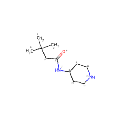 CC(C)(C)CC(=O)NC1CCNCC1